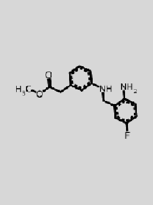 COC(=O)Cc1cccc(NCc2cc(F)ccc2N)c1